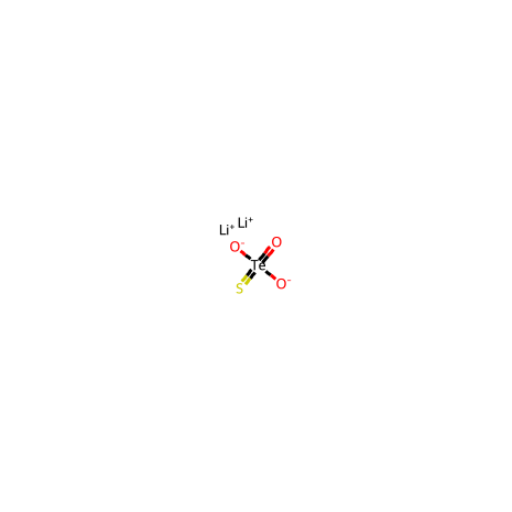 O=[Te]([O-])([O-])=S.[Li+].[Li+]